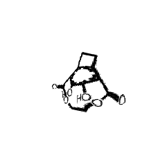 O=C1OCCOC(=O)c2c(O)c(O)c1c1c2CC1